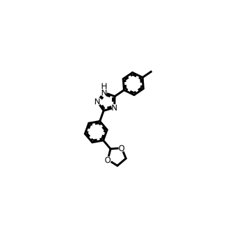 Cc1ccc(-c2nc(-c3cccc(C4OCCO4)c3)n[nH]2)cc1